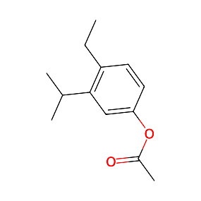 CCc1ccc(OC(C)=O)cc1C(C)C